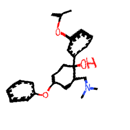 CC(C)Oc1cccc(C2(O)CCC(Oc3ccccc3)CC2CN(C)C)c1